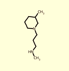 CNCCCN1CCCC(C)C1